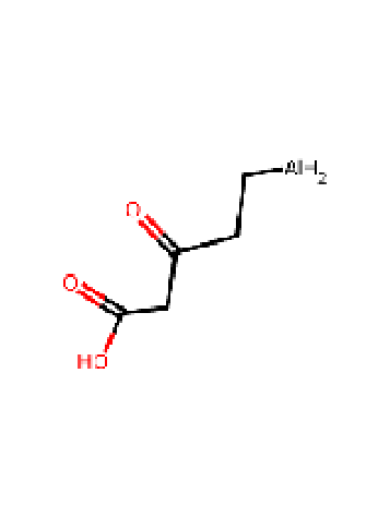 O=C(O)CC(=O)C[CH2][AlH2]